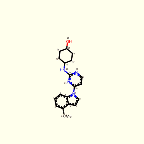 COc1cccc2c1ccn2-c1ccnc(NC2CCC(O)CC2)n1